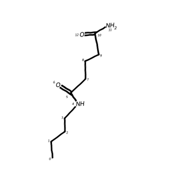 CCCCNC(=O)CCCC(N)=O